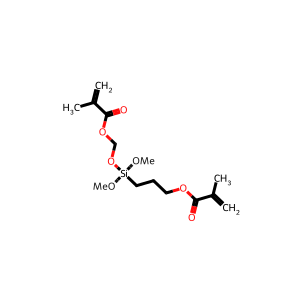 C=C(C)C(=O)OCCC[Si](OC)(OC)OCOC(=O)C(=C)C